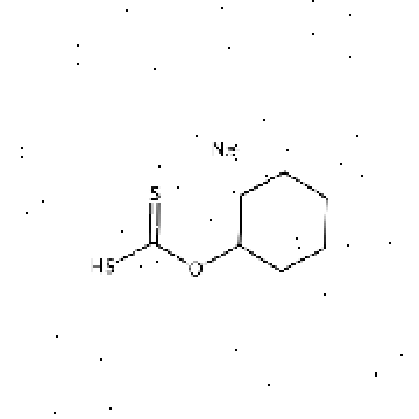 S=C(S)OC1CCCCC1.[Na]